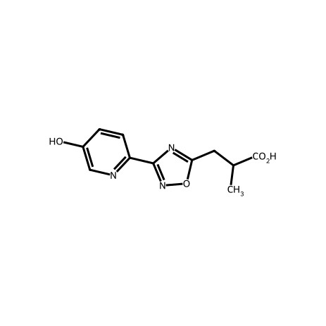 CC(Cc1nc(-c2ccc(O)cn2)no1)C(=O)O